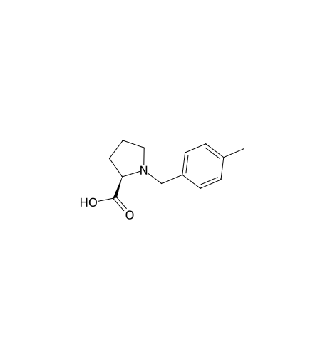 Cc1ccc(CN2CCC[C@@H]2C(=O)O)cc1